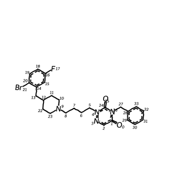 O=c1cnn(CCCCN2CCC(Cc3cc(F)ccc3Br)CC2)c(=O)n1Cc1ccccc1